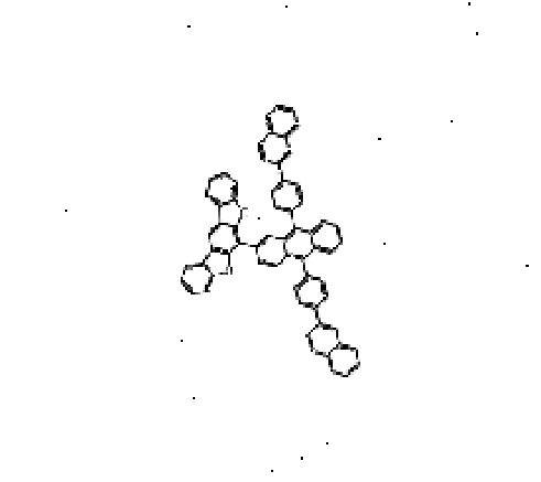 c1ccc2cc(-c3ccc(-c4c5ccccc5c(-c5ccc(-c6ccc7ccccc7c6)cc5)c5cc(-c6c7oc8ccccc8c7cc7c6oc6ccccc67)ccc45)cc3)ccc2c1